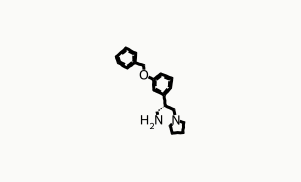 NC[C@@H](CN1CCCC1)c1cccc(OCc2ccccc2)c1